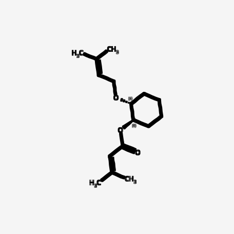 CC(C)=CCO[C@@H]1CCCC[C@H]1OC(=O)C=C(C)C